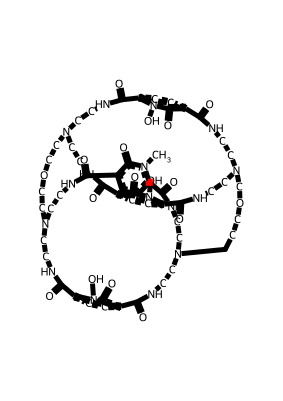 Cn1c2ccc(c1=O)C(=O)NCCN1CCNC(=O)c3ccc(c(=O)n3O)C(=O)NCCN(CCCOCN3CCNC(=O)c4ccc(n(O)c4=O)C(=O)NCCN(CCNC(=O)c4ccc(n(O)c4=O)C(=O)NCC3)CCOCC1)CCNC2=O